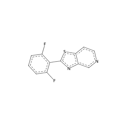 Fc1cccc(F)c1-c1nc2cnccc2s1